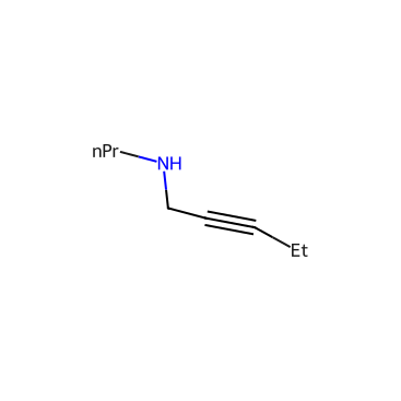 CCC#CCNCCC